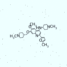 COc1cc2c(NC3CCN(C)CC3)cc(-c3ccc(C)o3)nc2cc1OCC1CCN(C)CC1